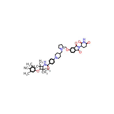 Cc1cc(OC2C(C)(C)C(NC(=O)c3ccc(N4CCC(CN5CCC[C@H]5COc5ccc6c(c5)C(=O)N(C5CCC(=O)NC5=O)C6=O)CC4)cc3)C2(C)C)cc(C)c1C#N